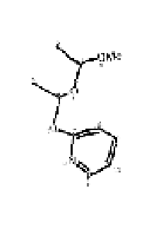 COC(C)OC(C)Oc1cccpn1